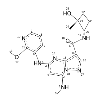 CNc1cc(Nc2cccnc2OC)nc2c(C(=O)N[C@H]3CC[C@@]3(C)O)cnn12